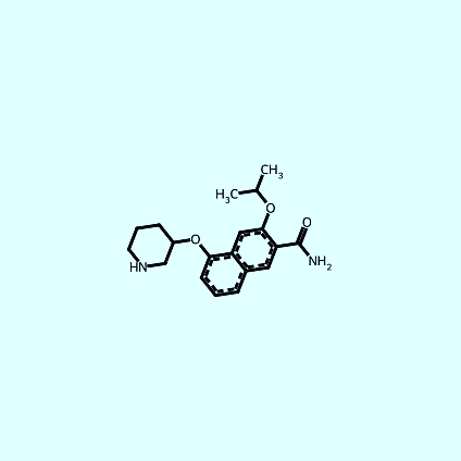 CC(C)Oc1cc2c(OC3CCCNC3)cccc2cc1C(N)=O